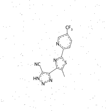 Cc1sc(-c2ccc(C(F)(F)F)cn2)nc1-c1nn[nH]c1C#N